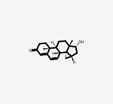 C[C@]12CCC(=O)C=C1C=C[C@@H]1[C@@H]2CC[C@]2(C)[C@H](O)C[C@@H]3C[C@]312